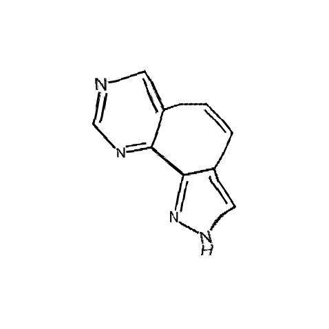 c1ncc2ccc3c[nH]nc3c2n1